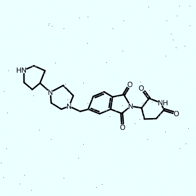 O=C1CCC(N2C(=O)c3ccc(CN4CCN(C5CCNCC5)CC4)cc3C2=O)C(=O)N1